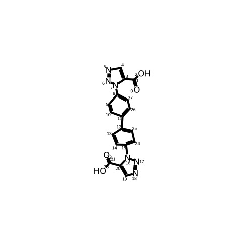 O=C(O)c1cnnn1-c1ccc(-c2ccc(-n3nncc3C(=O)O)cc2)cc1